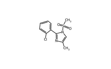 Cc1cn(S(C)(=O)=O)c(-c2ccccc2Cl)n1